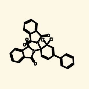 O=C1c2ccccc2C(=O)N1C1(N2C(=O)c3ccccc3C2=O)C=CC(c2ccccc2)=CC1(Cl)Cl